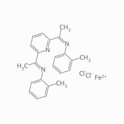 CC(=Nc1ccccc1C)c1cccc(C(C)=Nc2ccccc2C)n1.[Cl-].[Cl-].[Fe+2]